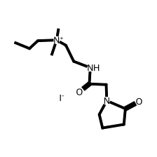 CCC[N+](C)(C)CCNC(=O)CN1CCCC1=O.[I-]